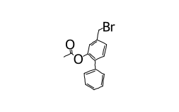 CC(=O)Oc1cc(CBr)ccc1-c1ccccc1